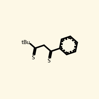 CC(C)(C)C(=S)CC(=S)c1ccccc1